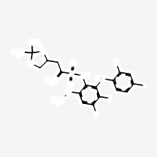 C=C(CC1COC(C)(C)O1)S(=O)(=O)Nc1c(OC)cc(F)c(F)c1Nc1ccc(I)cc1F